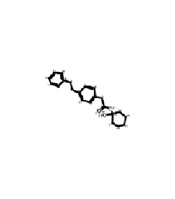 O=C(Cc1ccc(CCc2ccccc2)cc1)OC1(O)CCCCC1